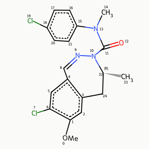 COc1cc2c(cc1Cl)C=NN(C(=O)N(C)c1ccc(Cl)cc1)[C@H](C)C2